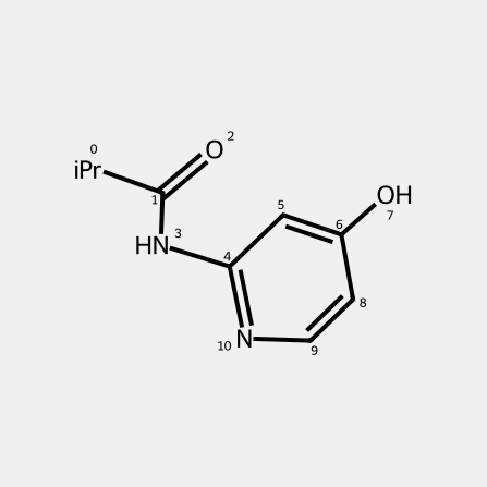 CC(C)C(=O)Nc1cc(O)ccn1